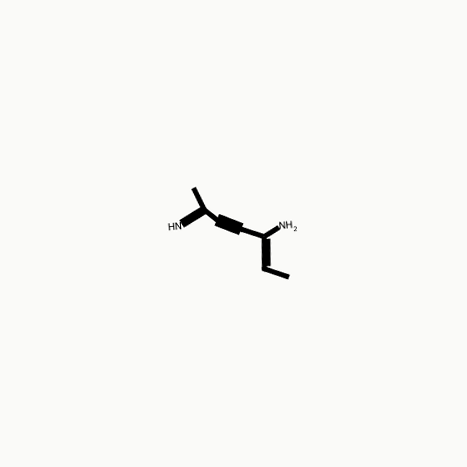 C/C=C(\N)C#CC(C)=N